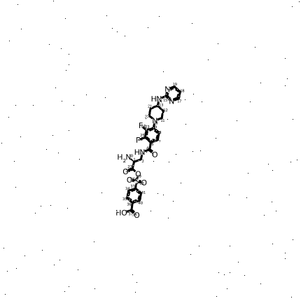 N[C@@H](CNC(=O)c1ccc(N2CCC(Nc3ncccn3)CC2)c(F)c1F)C(=O)OS(=O)(=O)c1ccc(C(=O)O)cc1